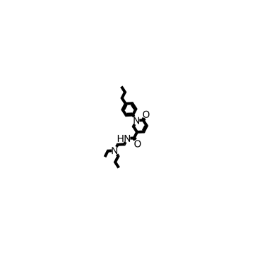 CCCc1ccc(N2CC(C(=O)NCCN(CC)CCC)C=CC2=O)cc1